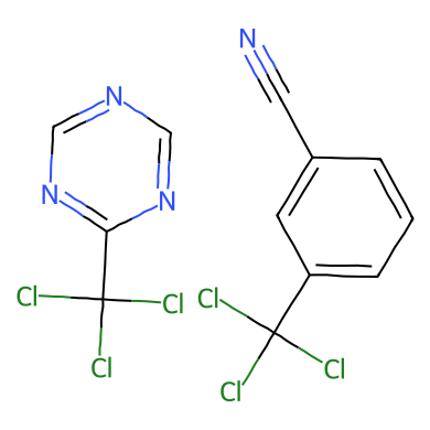 ClC(Cl)(Cl)c1ncncn1.N#Cc1cccc(C(Cl)(Cl)Cl)c1